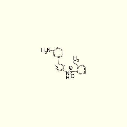 Cc1ccccc1S(=O)(=O)Nc1csc(-c2cccc(N)c2)c1